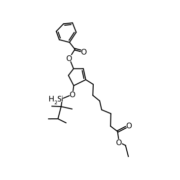 CCOC(=O)CCCCCCC1=CC(OC(=O)c2ccccc2)CC1O[SiH2]C(C)(C)C(C)C